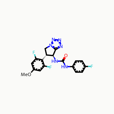 COc1cc(F)c([C@@H]2Cn3nnnc3[C@H]2NC(=O)Nc2ccc(F)cc2)c(F)c1